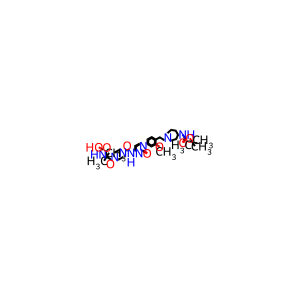 COc1cc(-n2ccc(NC(=O)N3CCN(C(=O)C(C)(C)NC(=O)O)CC3)nc2=O)ccc1CCN1CCCC(NC(=O)OC(C)(C)C)CC1